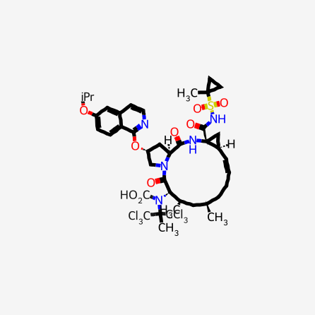 CC(C)Oc1ccc2c(O[C@@H]3C[C@H]4C(=O)N[C@]5(C(=O)NS(=O)(=O)C6(C)CC6)C[C@H]5/C=C\CC[C@@H](C)C[C@@H](C)[C@H](N(C(=O)O)C(C)(C(Cl)(Cl)Cl)C(Cl)(Cl)Cl)C(=O)N4C3)nccc2c1